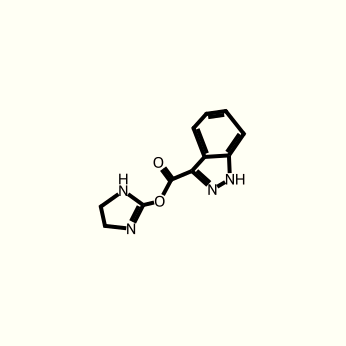 O=C(OC1=NCCN1)c1n[nH]c2ccccc12